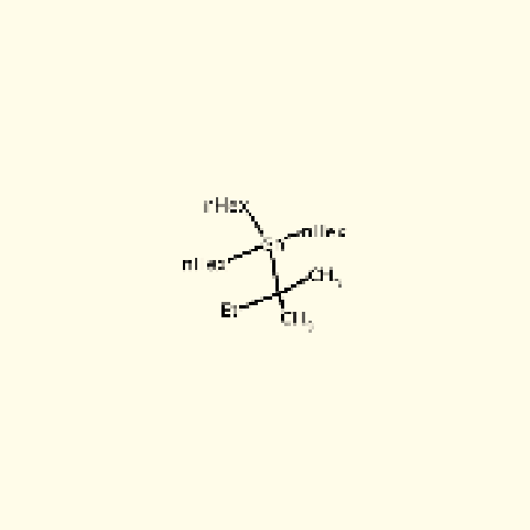 CCCCC[CH2][Sn]([CH2]CCCCC)([CH2]CCCCC)[C](C)(C)CC